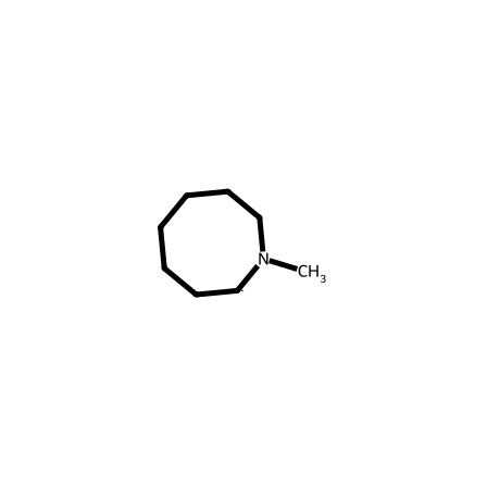 CN1[CH]CCCCCC1